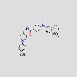 CN(CC1CCN(c2ccc(C(C)(C)C)cc2)CC1)C(=O)C1CCC(Nc2ccc([N+](=O)[O-])c(C(F)(F)F)c2)CC1